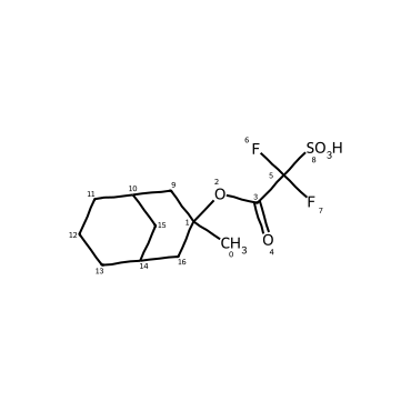 CC1(OC(=O)C(F)(F)S(=O)(=O)O)CC2CCCC(C2)C1